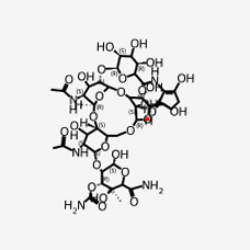 CC(=O)N[C@H]1C(O)[C@@H]2O[C@@H]3OC(OC4[C@H](O)C(CO)O[C@@H](OCC2O[C@H]1OC1[C@@H](OC(N)=O)[C@](C)(O)C(C(N)=O)O[C@@H]1O)[C@H]4O)[C@@H](O[C@@H]1OC(C(=O)NC2=C(O)CCC2=O)[C@H](O)C(O)[C@@H]1O)C(O)[C@@H]3NC(C)=O